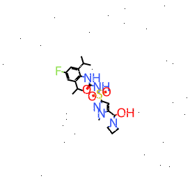 CC(C)c1cc(F)cc(C(C)C)c1NC(=O)NS(=O)(=O)c1cc(C(O)N2CCC2)n(C)n1